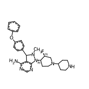 CN1C(c2ccc(Oc3ccccc3)cc2)c2c(N)ncnc2N1[C@@H]1CCN(C2CCNCC2)C[C@@H]1F